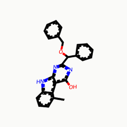 Cc1cccc2[nH]c3nc(C(OCc4ccccc4)c4ccccc4)nc(O)c3c12